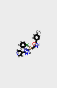 N#CC1=CCC(c2nnc(CSc3nnc(-c4ccncc4)n3-c3ccccc3Cl)o2)C=C1